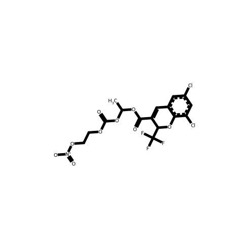 CC(OC(=O)OCCO[N+](=O)[O-])OC(=O)C1=Cc2cc(Cl)cc(Cl)c2OC1C(F)(F)F